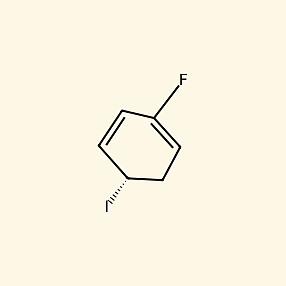 FC1=CC[C@H](I)C=C1